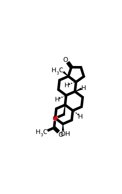 CC(=O)OC[C@]12CC[C@H](O)C[C@@H]1CC[C@@H]1[C@@H]2CC[C@]2(C)C(=O)CC[C@@H]12